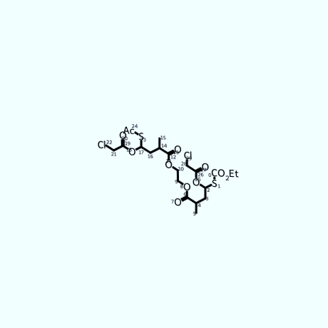 CCOC(=O)SC(CC(C)C(=O)OCCOC(=O)C(C)CC(OC(=O)CCl)SC(C)=O)OC(=O)CCl